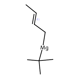 C/C=C/[CH2][Mg][C](C)(C)C